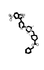 C[C@@H]1CN(c2cc(-c3n[nH]c4ccc([N+](=O)[O-])cc34)ccn2)C[C@H](C)N1CC1CCC(C(=O)OCc2ccccc2)CC1